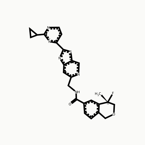 C[C@@]1(F)COCc2ccc(C(=O)NCc3cc4nc(-c5ccnc(C6CC6)n5)sc4cn3)cc21